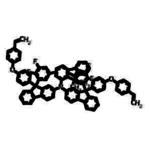 C=Cc1ccc(Oc2ccc(C3(c4cc(F)cc(F)c4F)c4ccccc4-c4ccc(N(c5ccc6c(c5)C(c5ccc(Oc7ccc(C=C)cc7)cc5)(c5cc(F)cc(F)c5F)c5ccccc5-6)c5cccc6c5C(C)(C)c5ccccc5-6)cc43)cc2)cc1